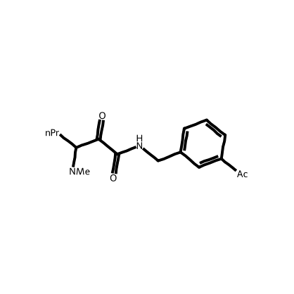 CCCC(NC)C(=O)C(=O)NCc1cccc(C(C)=O)c1